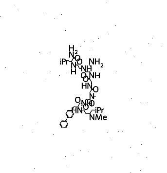 CNC(CC(=O)N[C@@H](Cc1ccc(-c2ccccc2)cc1)C(=O)NCC(=O)N(C)CC(=O)NCC(=O)N[C@@H](CCN)C(=O)NCC(=O)NC(C(N)=O)C(C)C)CC(C)C